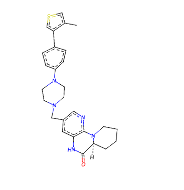 Cc1cscc1-c1ccc(N2CCN(Cc3cnc4c(c3)NC(=O)[C@@H]3CCCCN43)CC2)cc1